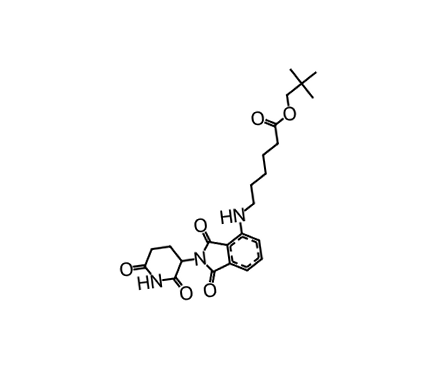 CC(C)(C)COC(=O)CCCCCNc1cccc2c1C(=O)N(C1CCC(=O)NC1=O)C2=O